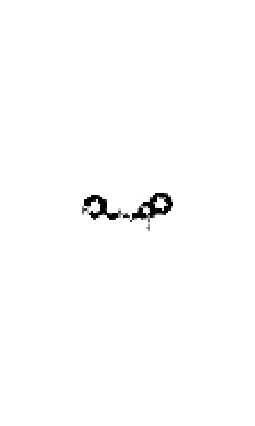 C(=N\N=c1\[nH]c2ccccc2s1)/c1cccnc1